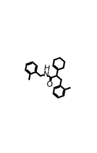 Cc1ccccc1CNC(=O)C(Cc1ccccc1C)C1=CCCCC1